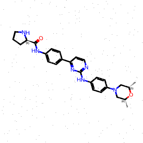 C[C@@H]1CN(c2ccc(Nc3nccc(-c4ccc(NC(=O)[C@H]5CCCN5)cc4)n3)cc2)C[C@H](C)O1